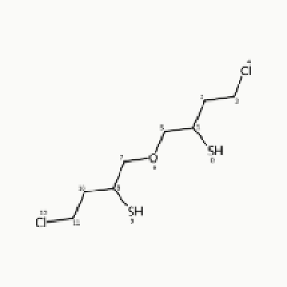 SC(CCCl)COCC(S)CCCl